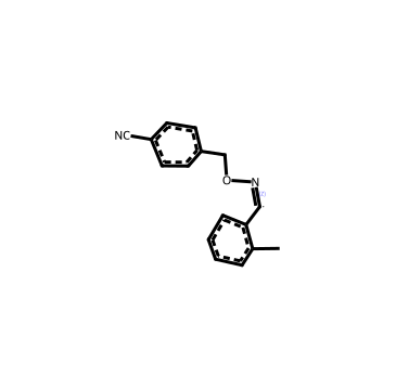 Cc1ccccc1/[C]=N\OCc1ccc(C#N)cc1